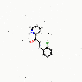 O=C(/C=C/c1ccccc1Br)c1ccccn1